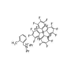 Cc1ccccc1C[NH+](C(C)C)C(C)C.Fc1c(F)c(F)c([B-](c2c(F)c(F)c(F)c(F)c2F)(c2c(F)c(F)c(F)c(F)c2F)c2c(F)c(F)c(F)c(F)c2F)c(F)c1F